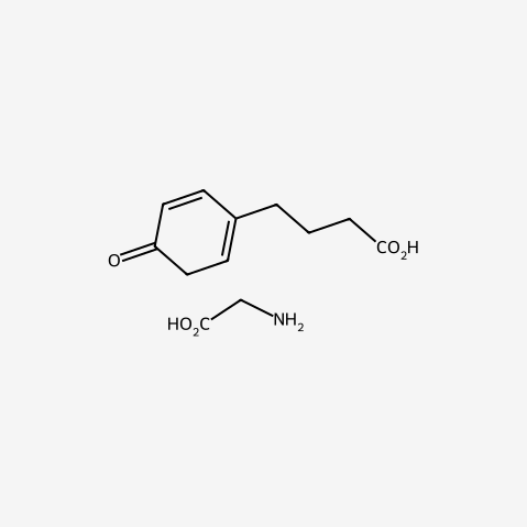 NCC(=O)O.O=C(O)CCCC1=CCC(=O)C=C1